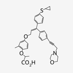 Cc1cc(OC/C=C(\c2ccc(C#CCN3CCOCC3)cc2)c2ccc(SC3CC3)cc2)ccc1OC(C)C(=O)O